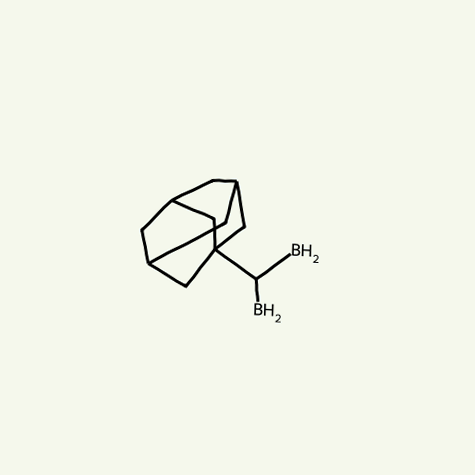 BC(B)C12CC3CC(CC(C3)C1)C2